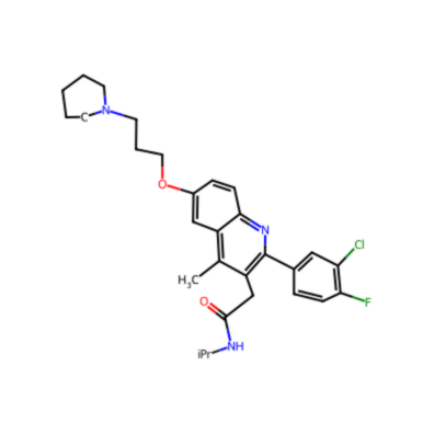 Cc1c(CC(=O)NC(C)C)c(-c2ccc(F)c(Cl)c2)nc2ccc(OCCCN3CCCCC3)cc12